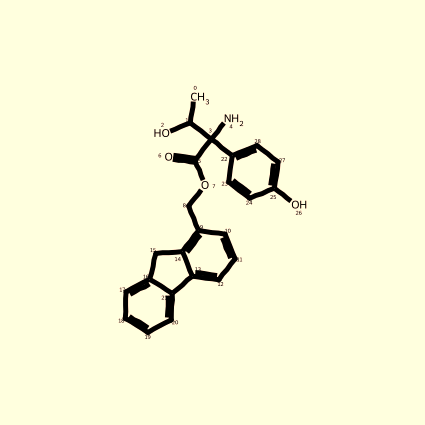 CC(O)C(N)(C(=O)OCc1cccc2c1Cc1ccccc1-2)c1ccc(O)cc1